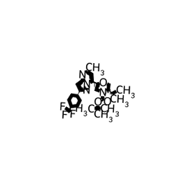 Cc1cc([C@@H]2CN(C(=O)OC(C)(C)C)[C@@H](C(C)C)CO2)n2nc([C@H]3CC[C@H](C(F)(F)F)CC3)cc2n1